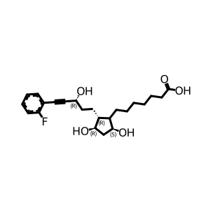 O=C(O)CCCCCCC1[C@@H](CC[C@@H](O)C#Cc2ccccc2F)[C@H](O)C[C@@H]1O